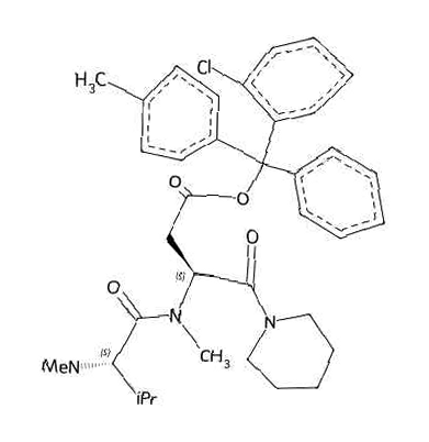 CN[C@H](C(=O)N(C)[C@@H](CC(=O)OC(c1ccccc1)(c1ccc(C)cc1)c1ccccc1Cl)C(=O)N1CCCCC1)C(C)C